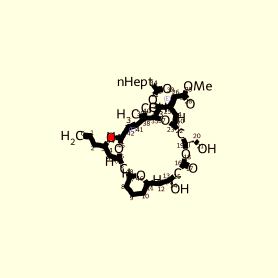 C=CCC1C[C@H]2C[C@H]3CCC[C@@H](C[C@@H](O)CC(=O)O[C@@H](CO)C[C@@H]4C/C(=C\C(=O)OC)[C@H](OC(=O)CCCCCCC)[C@@](O)(O4)C(C)(C)/C=C/[C@@H](O1)O2)O3